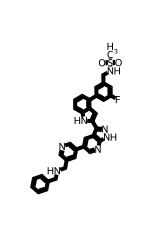 CS(=O)(=O)NCc1cc(F)cc(-c2cccc3[nH]c(-c4n[nH]c5ncc(-c6cncc(CNCc7ccccc7)c6)cc45)cc23)c1